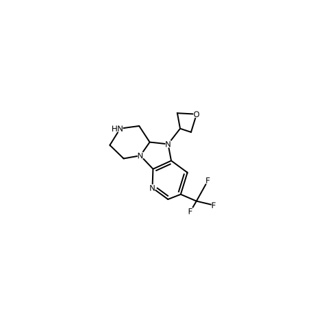 FC(F)(F)c1cnc2c(c1)N(C1COC1)C1CNCCN21